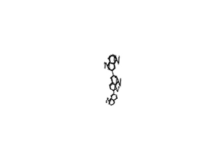 c1cnc2cc(-c3ccc4cc(-c5cnc6cccnc6c5)cnc4n3)ccc2c1